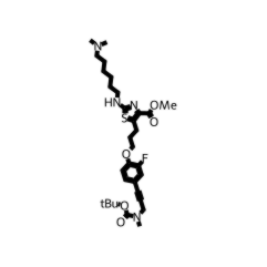 COC(=O)c1nc(NCCCCCCN(C)C)sc1CCCOc1ccc(C#CCN(C)C(=O)OC(C)(C)C)cc1F